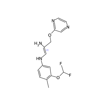 Cc1ccc(N/C=C(\N)COc2cnccn2)cc1OC(F)F